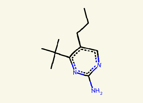 CCCc1cnc(N)nc1C(C)(C)C